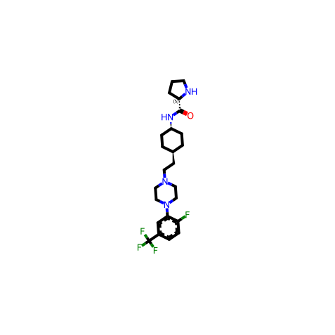 O=C(N[C@H]1CC[C@H](CCN2CCN(c3cc(C(F)(F)F)ccc3F)CC2)CC1)[C@@H]1CCCN1